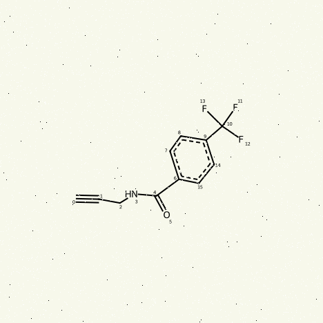 C#CCNC(=O)c1ccc(C(F)(F)F)cc1